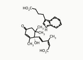 CC1=CC(=O)CC(C)(C)[C@@]1(O)/C=C/C(C)=C\C(=O)O.O=C(O)CCCc1c[nH]c2ccccc12